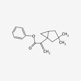 C=C(C(=O)Oc1ccccc1)C12CC1CC(C)(C)C2